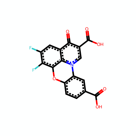 O=C(O)c1ccc2c(c1)-n1cc(C(=O)O)c(=O)c3cc(F)c(F)c(c31)O2